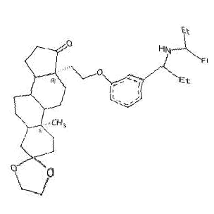 CCC(CC)NC(CC)c1cccc(OCC[C@]23CCC4C(CCC5CC6(CC[C@@]54C)OCCO6)C2CCC3=O)c1